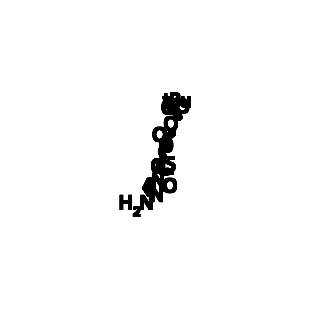 CC(C)(C)OC(=O)COCC(=O)OCC1OC(n2ccc(N)nc2=O)CS1